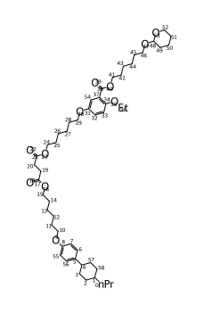 CCCC1CCC(c2ccc(OCCCCCCOC(=O)CCC(=O)OCCCCCCOc3ccc(OCC)c(C(=O)OCCCCCCOC4CCCCO4)c3)cc2)CC1